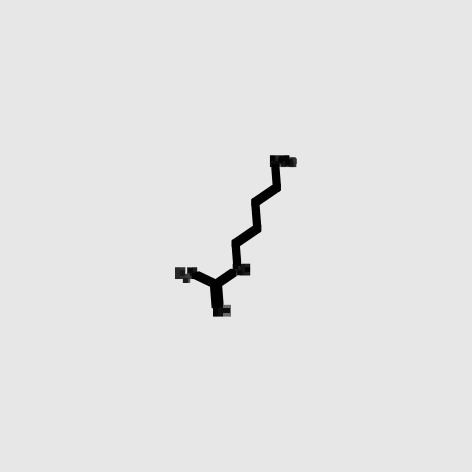 CNCCCCNC(=N)N